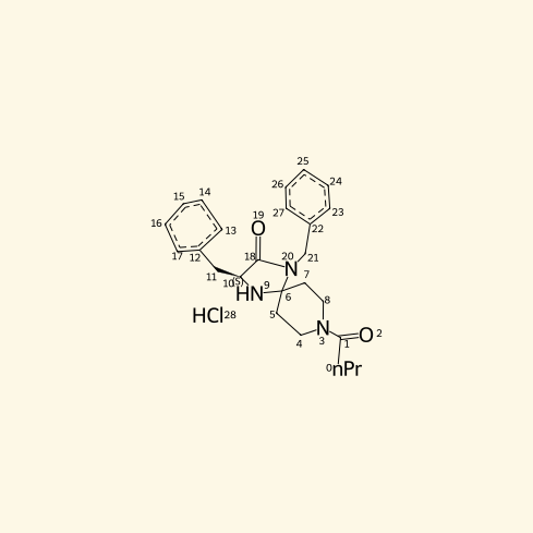 CCCC(=O)N1CCC2(CC1)N[C@@H](Cc1ccccc1)C(=O)N2Cc1ccccc1.Cl